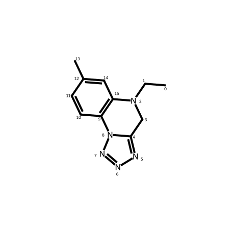 CCN1Cc2nnnn2-c2ccc(C)cc21